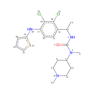 CC(NC(=O)N(C)C1CCN(C)CC1)c1ccc(Nc2cccs2)c(Cl)c1Cl